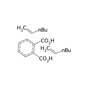 C=CCCCC.C=CCCCC.O=C(O)c1ccccc1C(=O)O